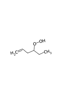 C=CCC(CC)OO